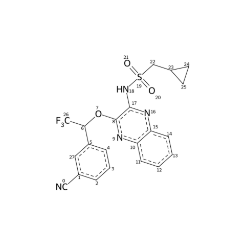 N#Cc1cccc(C(Oc2nc3ccccc3nc2NS(=O)(=O)CC2CC2)C(F)(F)F)c1